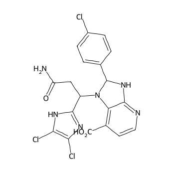 NC(=O)CC(c1nc(Cl)c(Cl)[nH]1)N1c2c(C(=O)O)ccnc2NC1c1ccc(Cl)cc1